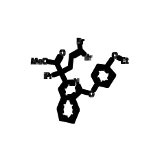 CCOc1ccc(Oc2nc(C(CC=C(Br)Br)(C(=O)OC)C(C)C)cc3ccccc23)cc1